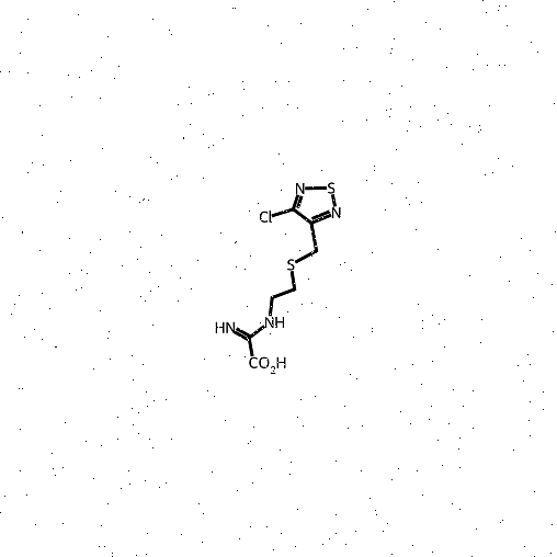 N=C(NCCSCc1nsnc1Cl)C(=O)O